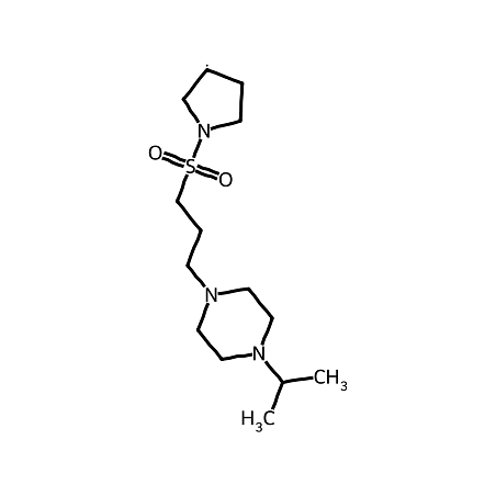 CC(C)N1CCN(CCCS(=O)(=O)N2C[CH]CC2)CC1